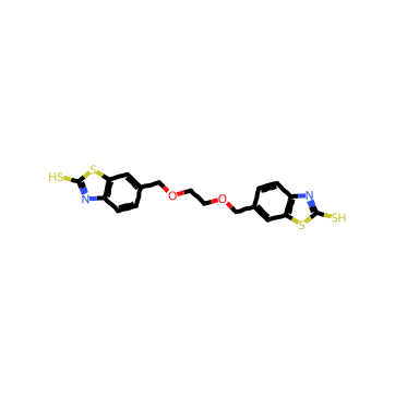 Sc1nc2ccc(COCCOCc3ccc4nc(S)sc4c3)cc2s1